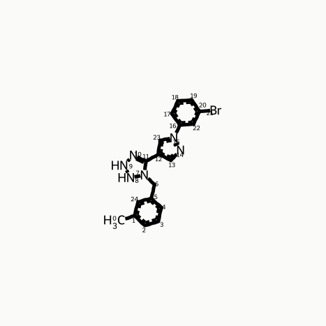 Cc1cccc(CN2NNN=C2c2cnn(-c3cccc(Br)c3)c2)c1